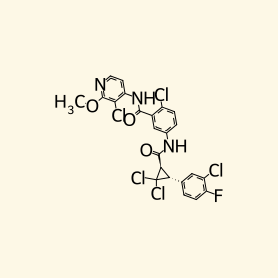 COc1nccc(NC(=O)c2cc(NC(=O)[C@H]3[C@H](c4ccc(F)c(Cl)c4)C3(Cl)Cl)ccc2Cl)c1Cl